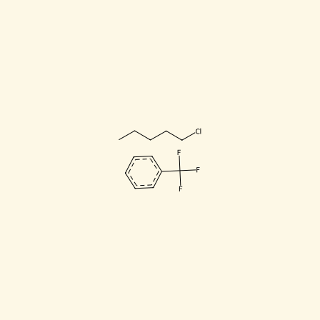 CCCCCCl.FC(F)(F)c1ccccc1